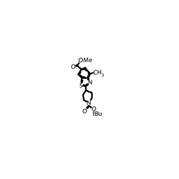 COC(=O)c1cc(C)c2nc(C3CCN(C(=O)OC(C)(C)C)CC3)sc2c1